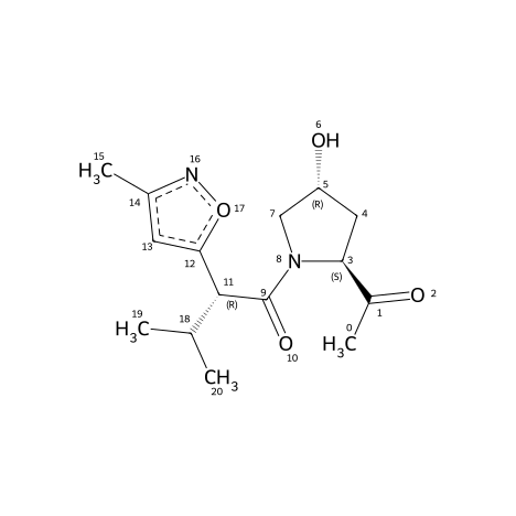 CC(=O)[C@@H]1C[C@@H](O)CN1C(=O)[C@@H](c1cc(C)no1)C(C)C